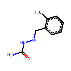 Cc1ccccc1CNNC(N)=O